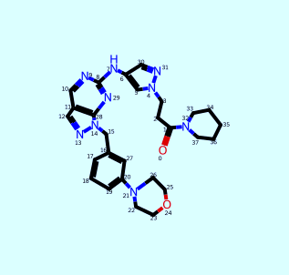 O=C(CCn1cc(Nc2ncc3cnn(Cc4cccc(N5CCOCC5)c4)c3n2)cn1)N1CCCCC1